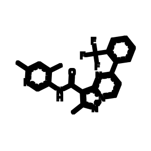 Cc1cc(C)c(NC(=O)c2c(C)nn3ccc(-c4ccccc4C(F)(F)F)nc23)cn1